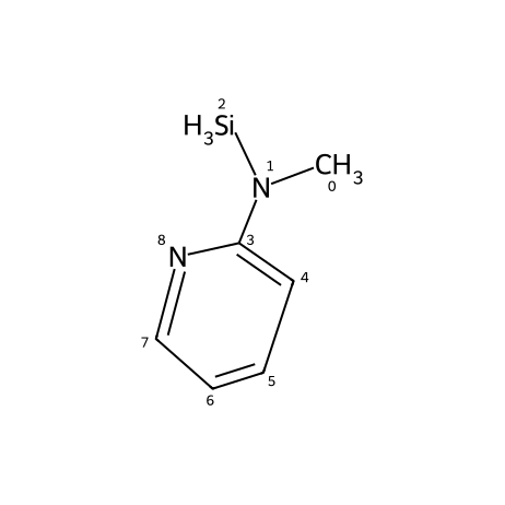 CN([SiH3])c1ccccn1